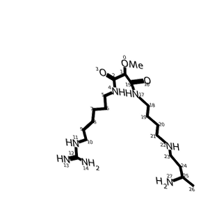 COC(C(=O)NCCCCCCNC(=N)N)C(=O)NCCCCNCCC(C)N